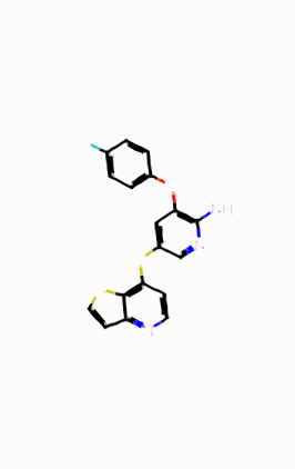 Nc1ncc(Sc2ccnc3ccsc23)cc1Oc1ccc(F)cc1